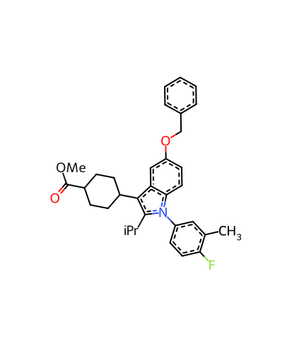 COC(=O)C1CCC(c2c(C(C)C)n(-c3ccc(F)c(C)c3)c3ccc(OCc4ccccc4)cc23)CC1